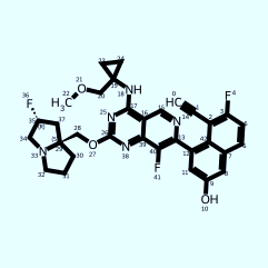 C#Cc1c(F)ccc2cc(O)cc(-c3ncc4c(NC5(COC)CC5)nc(OC[C@@]56CCCN5C[C@H](F)C6)nc4c3F)c12